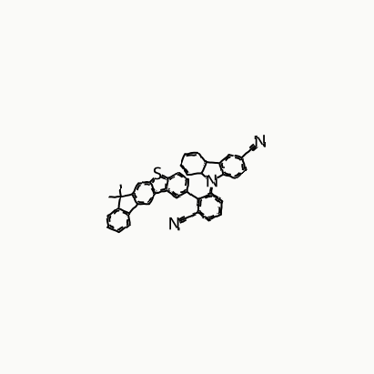 CC1(C)c2ccccc2-c2cc3c(cc21)sc1ccc(-c2c(C#N)cccc2N2c4ccc(C#N)cc4C4C=CC=CC42)cc13